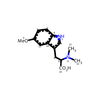 COc1ccc2[nH]cc(CC(C(=O)O)N(C)C)c2c1